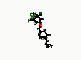 CC(C)CC[SiH]1CCC(COc2cc(F)c(Cl)c(F)c2)CC1